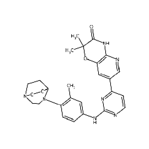 Cc1cc(Nc2nccc(-c3cnc4c(c3)OC(C)(C)C(=O)N4)n2)ccc1N1CCN2CCC1CC2